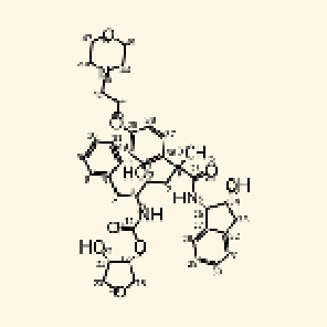 C[C@](C[C@H](O)[C@H](Cc1ccccc1)NC(=O)O[C@@H]1COC[C@@H]1O)(C(=O)N[C@H]1c2ccccc2C[C@H]1O)c1ccc(OCCN2CCOCC2)cc1